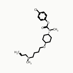 C=CCN(C)CCCCO[C@H]1CC[C@H](N(C)C(=O)Oc2ccc(Cl)cc2)CC1